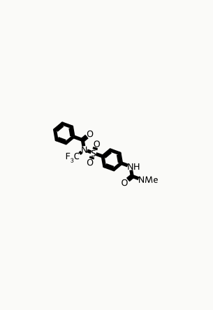 CNC(=O)Nc1ccc(S(=O)(=O)N(C(=O)c2ccccc2)C(F)(F)F)cc1